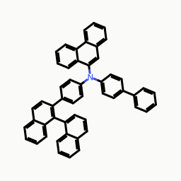 c1ccc(-c2ccc(N(c3ccc(-c4ccc5ccccc5c4-c4cccc5ccccc45)cc3)c3cc4ccccc4c4ccccc34)cc2)cc1